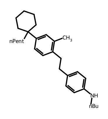 CCCCCC1(c2ccc(CCc3ccc(NCCCC)cc3)c(C)c2)CCCCC1